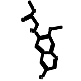 COC(=O)CNc1cc2cc(Cl)cnc2cc1OC